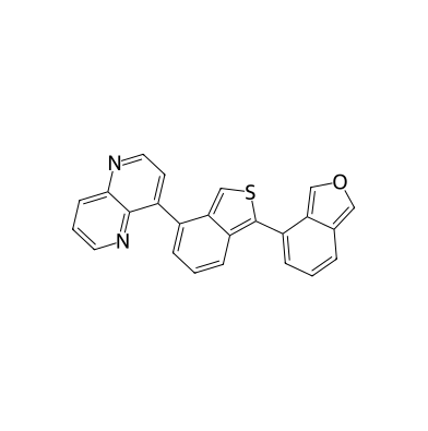 c1cc(-c2scc3c(-c4ccnc5cccnc45)cccc23)c2cocc2c1